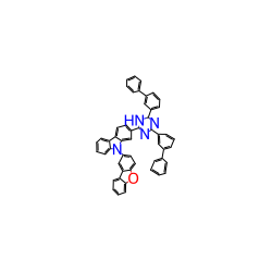 c1ccc(-c2cccc(C3=NC(c4cccc(-c5ccccc5)c4)NC(c4ccc5c6ccccc6n(-c6ccc7oc8ccccc8c7c6)c5c4)=N3)c2)cc1